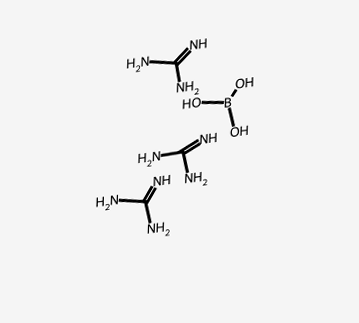 N=C(N)N.N=C(N)N.N=C(N)N.OB(O)O